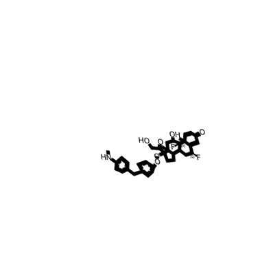 CNc1ccc(Cc2ccc(OOC3(C(=O)CO)CCC4C5C[C@H](F)C6=CC(=O)C=CC6(C)[C@@]5(F)C(O)CC43C)cc2)cc1